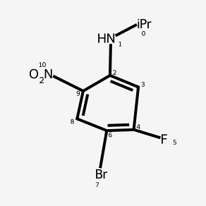 CC(C)Nc1cc(F)c(Br)cc1[N+](=O)[O-]